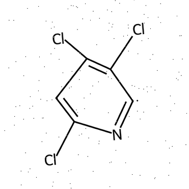 Clc1cc(Cl)c(Cl)[c]n1